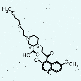 CCCCSCCN1CC[C@H](CCC(=O)c2c(Cl)cnc3ccc(OC)cc23)[C@H](C(=O)O)C1